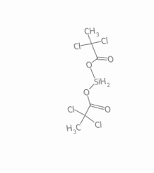 CC(Cl)(Cl)C(=O)O[SiH2]OC(=O)C(C)(Cl)Cl